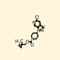 CC1(COC(=O)N2CCC(n3nnc4cc(Cl)ncc43)CC2)CC1